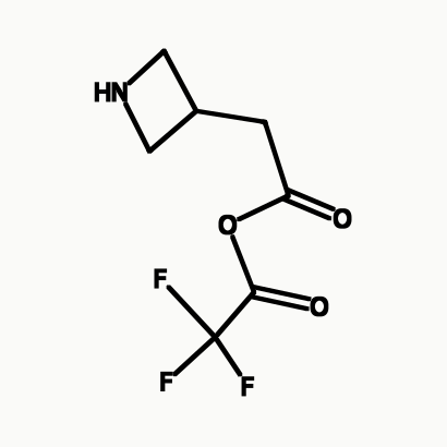 O=C(CC1CNC1)OC(=O)C(F)(F)F